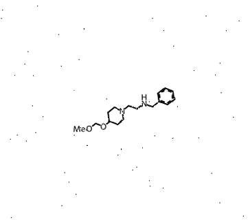 COCOC1CCN(CCNCc2ccccc2)CC1